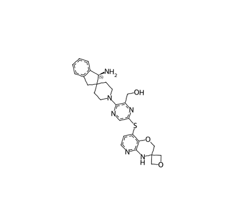 N[C@@H]1c2ccccc2CC12CCN(c1ncc(Sc3ccnc4c3OCC3(COC3)N4)nc1CO)CC2